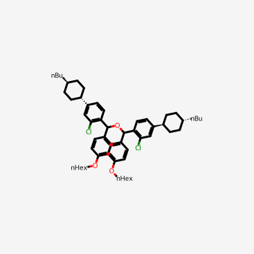 CCCCCCOc1ccc(C(OC(c2ccc(OCCCCCC)cc2)c2ccc([C@H]3CC[C@H](CCCC)CC3)cc2Cl)c2ccc([C@H]3CC[C@H](CCCC)CC3)cc2Cl)cc1